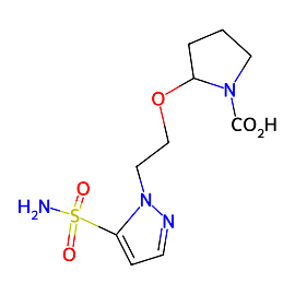 NS(=O)(=O)c1ccnn1CCOC1CCCN1C(=O)O